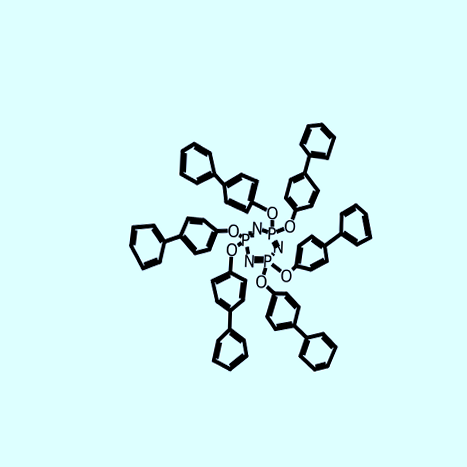 c1ccc(-c2ccc(OP3(Oc4ccc(-c5ccccc5)cc4)=NP(Oc4ccc(-c5ccccc5)cc4)(Oc4ccc(-c5ccccc5)cc4)=NP(Oc4ccc(-c5ccccc5)cc4)(Oc4ccc(-c5ccccc5)cc4)=N3)cc2)cc1